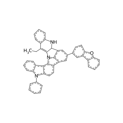 CCC1=C2C(Nc3ccccc31)c1cc(-c3ccc4oc5ccccc5c4c3)cc3c4ccc5c(c6ccccc6n5-c5ccccc5)c4n2c13